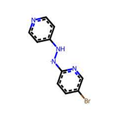 Brc1ccc([N]Nc2ccncc2)nc1